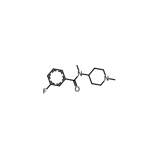 CN1CCC(N(C)C(=O)c2cccc(F)c2)CC1